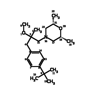 COC(C)(Cc1ccc(C(C)(C)C)cc1)CN1C[C@@H](C)O[C@@H](C)C1